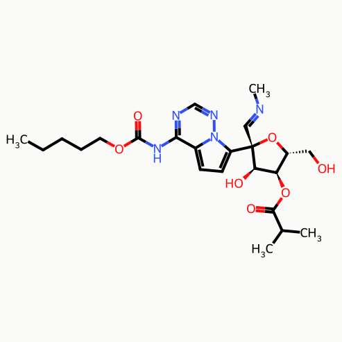 CCCCCOC(=O)Nc1ncnn2c([C@]3(C=NC)O[C@H](CO)[C@@H](OC(=O)C(C)C)[C@H]3O)ccc12